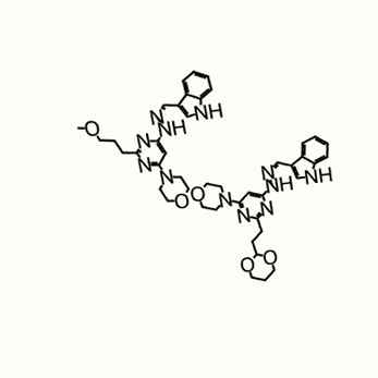 C(=N/Nc1cc(N2CCOCC2)nc(CCC2OCCCO2)n1)/c1c[nH]c2ccccc12.COCCCc1nc(N/N=C\c2c[nH]c3ccccc23)cc(N2CCOCC2)n1